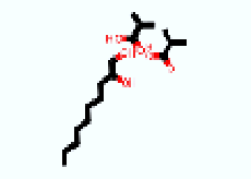 C=C(C)C(=O)O.C=C(C)C(=O)O.CCCCCCCCC(O)CO